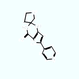 O=C1NC2(CCOC2)Nc2cc(-c3ccncc3)sc21